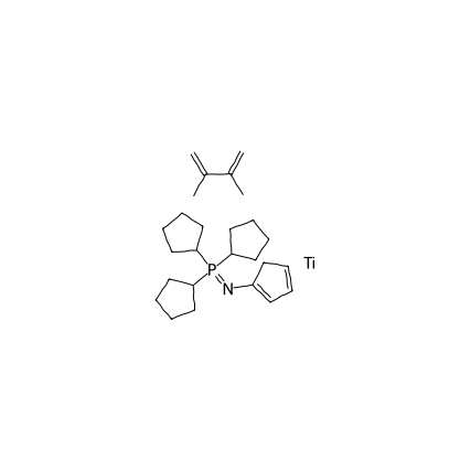 C1=CCC(N=P(C2CCCC2)(C2CCCC2)C2CCCC2)=C1.C=C(C)C(=C)C.[Ti]